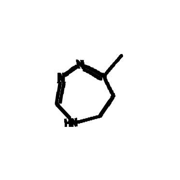 CC1=NN=CNCC1